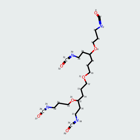 O=C=NCCCOC(CCCOCCCC(CCN=C=O)OCCCN=C=O)CCN=C=O